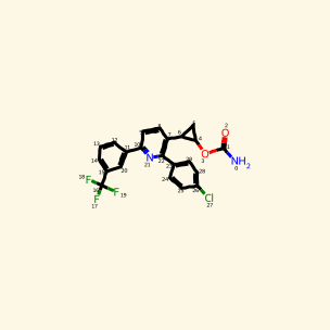 NC(=O)OC1CC1c1ccc(-c2cccc(C(F)(F)F)c2)nc1-c1ccc(Cl)cc1